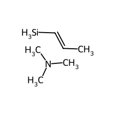 CC=C[SiH3].CN(C)C